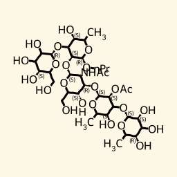 CCCO[C@@H]1OC(C)[C@H](O)C(O[C@H]2OC(CO)[C@@H](O)C(O)C2O)[C@@H]1O[C@@H]1OC(CO)[C@@H](O)[C@H](O[C@@H]2OC(C)[C@H](O)C(O[C@@H]3OC(C)[C@H](O)C(O)[C@@H]3O)[C@@H]2OC(C)=O)C1NC(C)=O